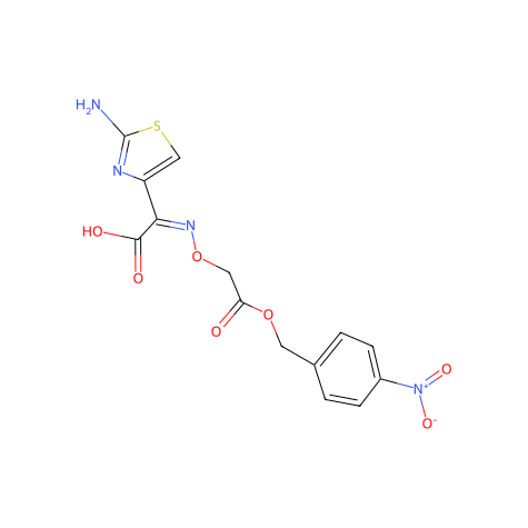 Nc1nc(C(=NOCC(=O)OCc2ccc([N+](=O)[O-])cc2)C(=O)O)cs1